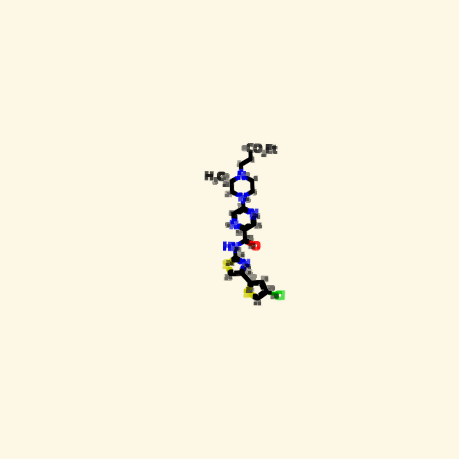 CCOC(=O)CCN1CCN(c2cnc(C(=O)Nc3nc(-c4cc(Cl)cs4)cs3)cn2)C[C@@H]1C